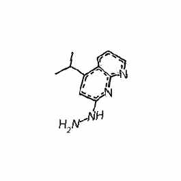 CC(C)c1cc(NN)nc2ncccc12